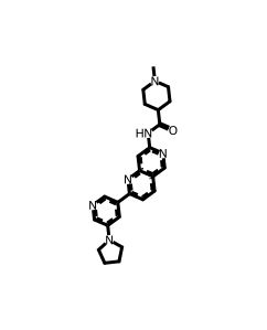 CN1CCC(C(=O)Nc2cc3nc(-c4cncc(N5CCCC5)c4)ccc3cn2)CC1